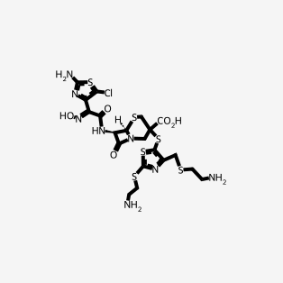 NCCSCc1nc(SCCN)sc1SC1(C(=O)O)CS[C@@H]2[C@H](NC(=O)C(=NO)c3nc(N)sc3Cl)C(=O)N2C1